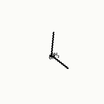 CCCCCCCCCCCCCCCCCCC(N)(CCCCCCCCCCCCCCCCCC)C(C)O